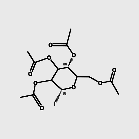 CC(=O)OCC1O[C@H](I)C(OC(C)=O)C(OC(C)=O)[C@@H]1OC(C)=O